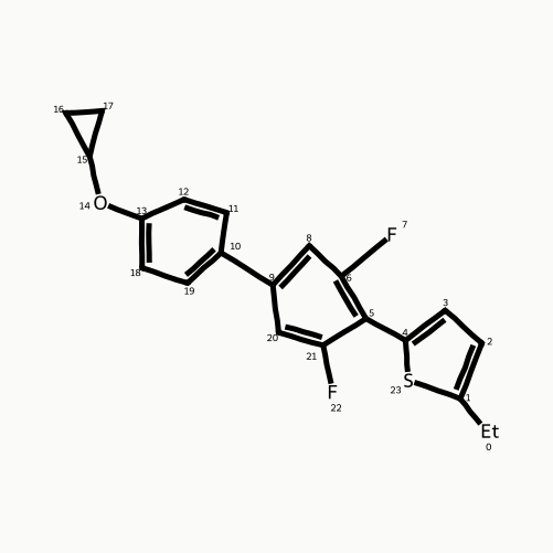 CCc1ccc(-c2c(F)cc(-c3ccc(OC4CC4)cc3)cc2F)s1